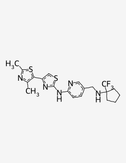 Cc1nc(C)c(-c2csc(Nc3ccc(CNC4(C(F)(F)F)CCCC4)cn3)n2)s1